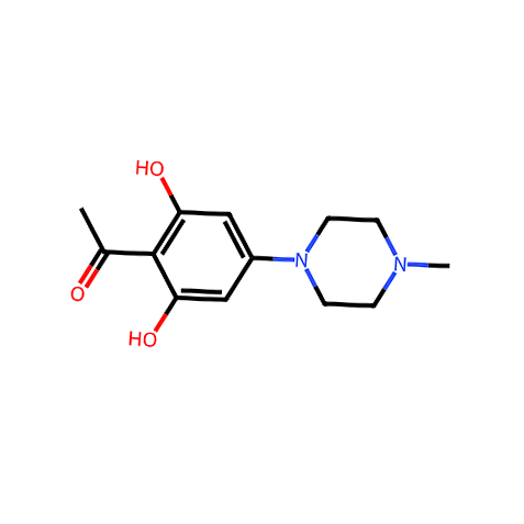 CC(=O)c1c(O)cc(N2CCN(C)CC2)cc1O